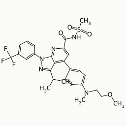 COCCN(C)c1ccc(-c2cc(C(=O)NS(C)(=O)=O)nc3c2c(C(C)C)nn3-c2cccc(C(F)(F)F)c2)cc1